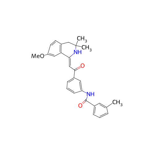 COc1ccc2c(c1)/C(=C/C(=O)c1cccc(NC(=O)c3cccc(C)c3)c1)NC(C)(C)C2